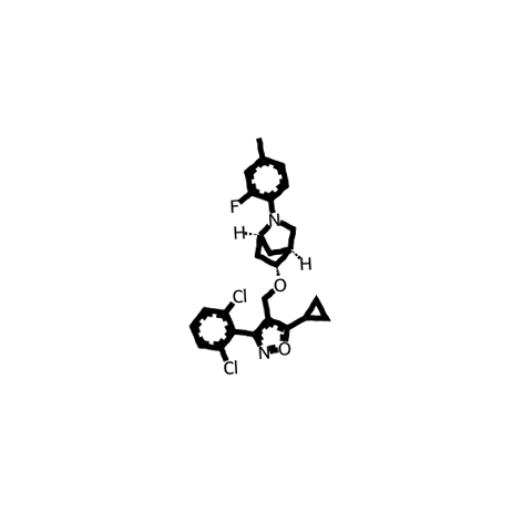 Cc1ccc(N2C[C@@H]3C[C@H]2C[C@H]3OCc2c(-c3c(Cl)cccc3Cl)noc2C2CC2)c(F)c1